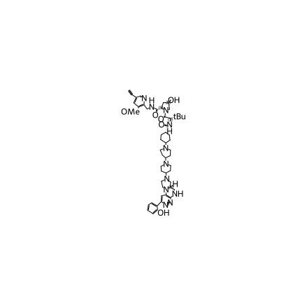 C#Cc1cnc(CNC(=O)[C@@H]2C[C@@H](O)CN2C(=O)[C@@H](NC(=O)[C@H]2CC[C@H](N3CCC(N4CCC(N5CCN6c7cc(-c8ccccc8O)nnc7NC[C@H]6C5)CC4)CC3)CC2)C(C)(C)C)c(OC)c1